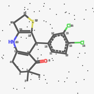 CC1(C)CCC2=C(C1=O)C(c1ccc(Cl)c(Cl)c1)C1=C(CCS1)N2